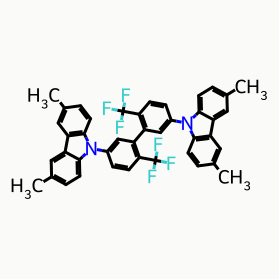 Cc1ccc2c(c1)c1cc(C)ccc1n2-c1ccc(C(F)(F)F)c(-c2cc(-n3c4ccc(C)cc4c4cc(C)ccc43)ccc2C(F)(F)F)c1